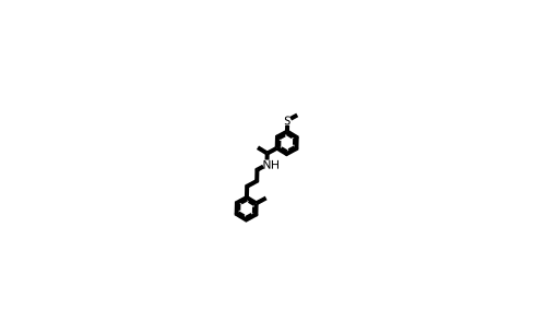 CSc1cccc(C(C)NCCCc2ccccc2C)c1